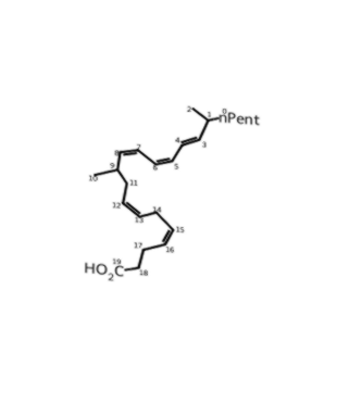 CCCCCC(C)/C=C/C=C\C=C/C(C)C/C=C\C/C=C\CCC(=O)O